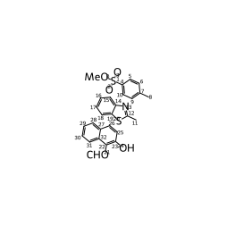 COS(=O)(=O)c1ccc(C)cc1.Cc1nc2ccccc2s1.O=Cc1c(O)ccc2ccccc12